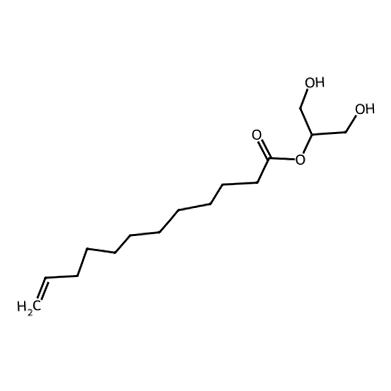 C=CCCCCCCCCCC(=O)OC(CO)CO